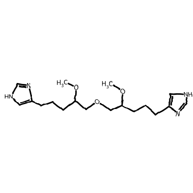 COC(CCCc1c[nH]cn1)COCC(CCCc1c[nH]cn1)OC